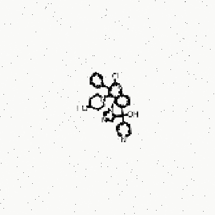 Cn1cncc1C(O)(c1ccncc1)c1ccc2nc(Cl)c(-c3ccccc3)c(N3CCC(O)CC3)c2c1